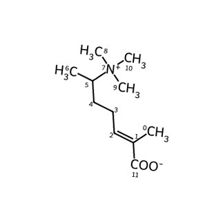 CC(=CCCC(C)[N+](C)(C)C)C(=O)[O-]